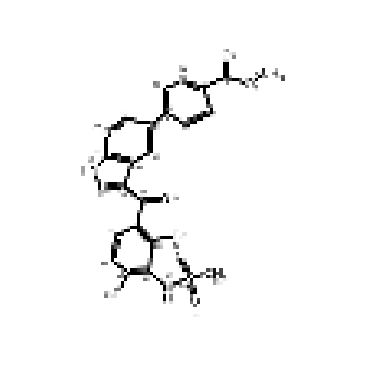 COC(=O)c1ccc(-c2cnc3[nH]nc(C(=O)c4ccc(F)c(NS(C)(=O)=O)c4F)c3c2)cn1